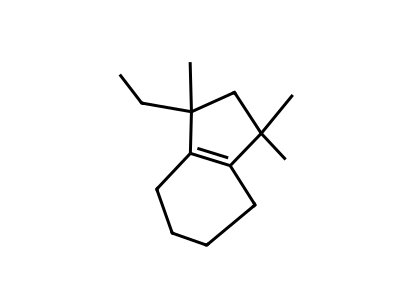 CCC1(C)CC(C)(C)C2=C1CCCC2